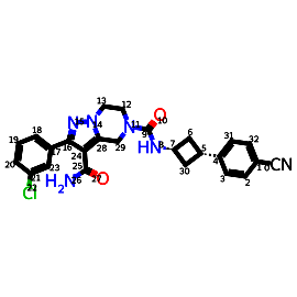 N#Cc1ccc([C@H]2C[C@@H](NC(=O)N3CCn4nc(-c5cccc(Cl)c5)c(C(N)=O)c4C3)C2)cc1